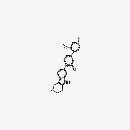 COc1cc(F)ccc1-c1ccn(-c2ccc3c4c([nH]c3c2)CCN(C)C4)c(=O)c1